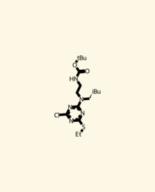 CCSc1nc(Cl)nc(N(CCNC(=O)OC(C)(C)C)C[C@@H](C)CC)n1